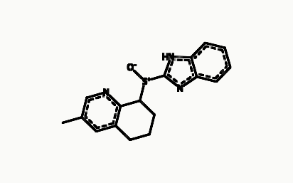 Cc1cnc2c(c1)CCCC2[S+]([O-])c1nc2ccccc2[nH]1